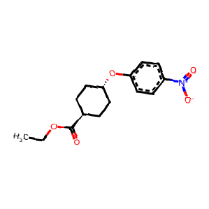 CCOC(=O)[C@H]1CC[C@H](Oc2ccc([N+](=O)[O-])cc2)CC1